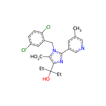 CCC(O)(CC)c1nc(-c2cncc(C)c2)n(Cc2cc(Cl)ccc2Cl)c1C(=O)O